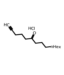 C#CCCCC(=O)CCCCCCCCC.Cl